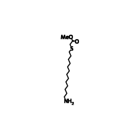 COC(=O)CSCCCCCCCCCCCCCN